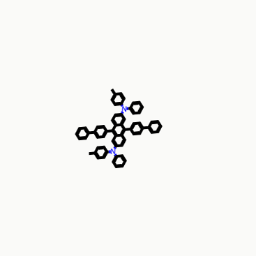 Cc1ccc(N(c2ccccc2)c2ccc3c(-c4ccc(-c5ccccc5)cc4)c4cc(N(c5ccccc5)c5ccc(C)cc5)ccc4c(-c4ccc(-c5ccccc5)cc4)c3c2)cc1